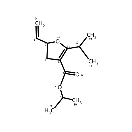 C=CC1CC(C(=O)OC(C)C)=C(C(C)C)O1